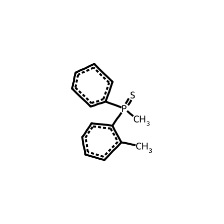 Cc1ccccc1P(C)(=S)c1ccccc1